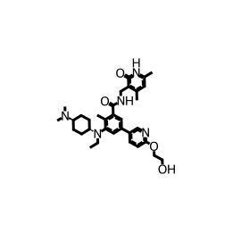 CCN(c1cc(-c2ccc(OCCO)nc2)cc(C(=O)NCc2c(C)cc(C)[nH]c2=O)c1C)[C@H]1CC[C@H](N(C)C)CC1